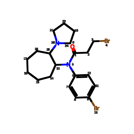 O=C(CCBr)N(c1ccc(Br)cc1)C1CCCCCC1N1CCCC1